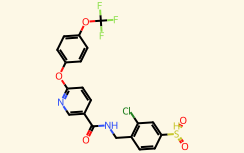 O=C(NCc1ccc([SH](=O)=O)cc1Cl)c1ccc(Oc2ccc(OC(F)(F)F)cc2)nc1